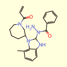 C=CC(=O)N1CCCCC(N2c3c(C)cccc3NC2N(N)C(=O)c2ccccc2)C1